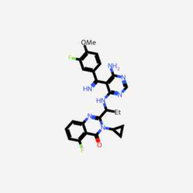 CCC(Nc1ncnc(N)c1C(=N)c1ccc(OC)c(F)c1)c1nc2cccc(F)c2c(=O)n1C1CC1